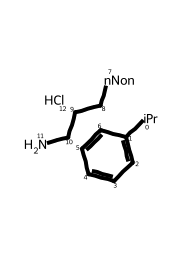 CC(C)c1ccccc1.CCCCCCCCCCCCN.Cl